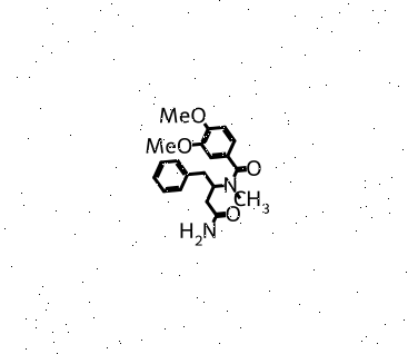 COc1ccc(C(=O)N(C)C(CC(N)=O)Cc2ccccc2)cc1OC